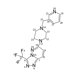 FC(F)(F)c1nnc2ccc(N3CCN(Cc4cccnc4)CC3)nn12